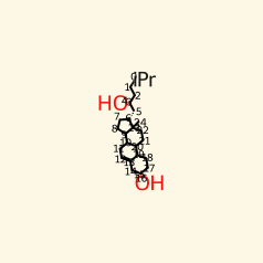 CC(C)CCC(O)C[C@H]1CCC2C3CC=C4C[C@@H](O)CCC4C3CCC21C